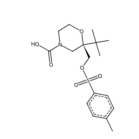 Cc1ccc(S(=O)(=O)OC[C@@]2(C(C)(C)C)CN(C(=O)O)CCO2)cc1